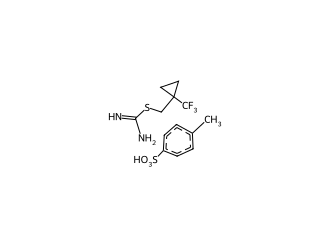 Cc1ccc(S(=O)(=O)O)cc1.N=C(N)SCC1(C(F)(F)F)CC1